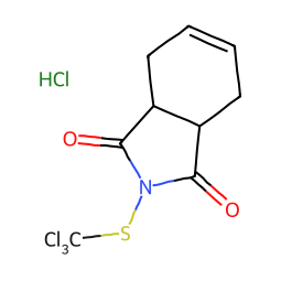 Cl.O=C1C2CC=CCC2C(=O)N1SC(Cl)(Cl)Cl